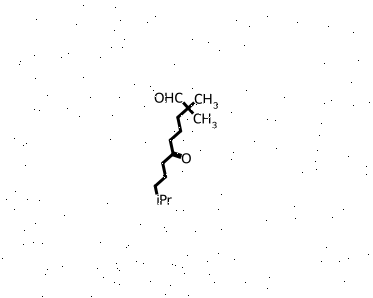 CC(C)CCCC(=O)CCCC(C)(C)C=O